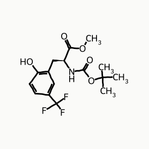 COC(=O)[C@H](Cc1cc(C(F)(F)F)ccc1O)NC(=O)OC(C)(C)C